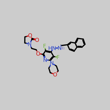 O=C1OCCN1CCOc1nc(N2CCOCC2)c(F)c(N/N=C/c2ccc3ccccc3c2)c1F